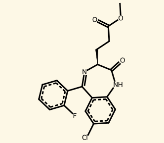 COC(=O)CC[C@@H]1N=C(c2ccccc2F)c2cc(Cl)ccc2NC1=O